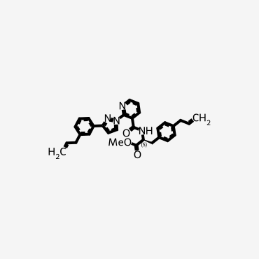 C=CCc1ccc(C[C@H](NC(=O)c2cccnc2-n2ccc(-c3cccc(CC=C)c3)n2)C(=O)OC)cc1